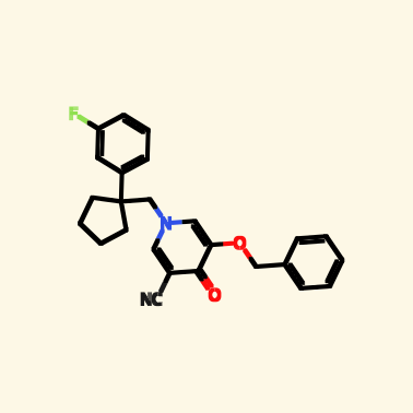 N#Cc1cn(CC2(c3cccc(F)c3)CCCC2)cc(OCc2ccccc2)c1=O